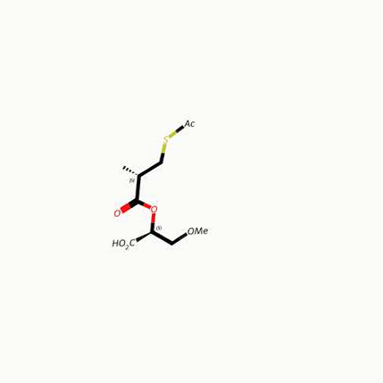 COC[C@H](OC(=O)[C@H](C)CSC(C)=O)C(=O)O